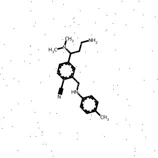 Cc1ccc(NCc2cc(C(CCN)N(C)C)ccc2C#N)cc1